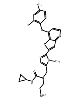 COCCN(Cc1cnc(-c2cc3nccc(Oc4ccc(N)cc4F)c3s2)n1C)C(=O)NC1CC1